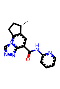 C[C@H]1CCc2c1cc(C(=O)Nc1ccccn1)c1nncn21